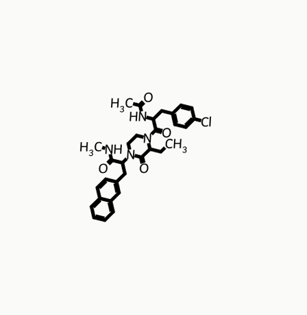 CCC1C(=O)N(C(Cc2ccc3ccccc3c2)C(=O)NC)CCN1C(=O)C(Cc1ccc(Cl)cc1)NC(C)=O